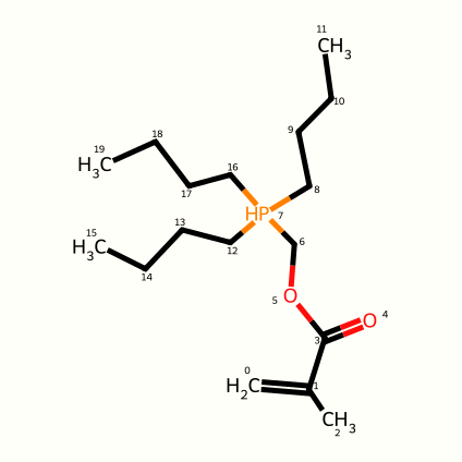 C=C(C)C(=O)OC[PH](CCCC)(CCCC)CCCC